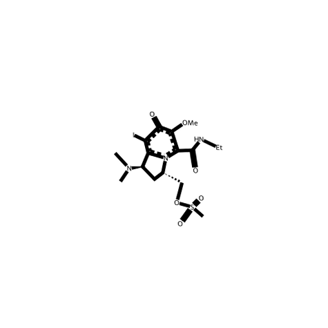 CCNC(=O)c1c(OC)c(=O)c(I)c2n1[C@H](COS(C)(=O)=O)C[C@H]2N(C)C